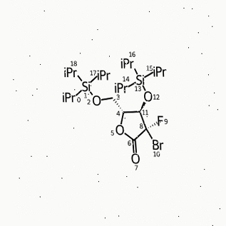 CC(C)[Si](OC[C@H]1OC(=O)[C@](F)(Br)[C@@H]1O[Si](C(C)C)(C(C)C)C(C)C)(C(C)C)C(C)C